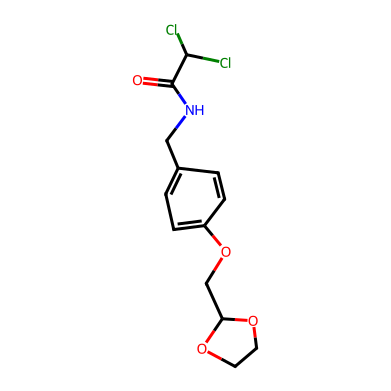 O=C(NCc1ccc(OCC2OCCO2)cc1)C(Cl)Cl